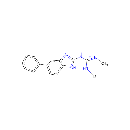 CCN/C(=N\C)Nc1nc2cc(-c3ccccc3)ccc2[nH]1